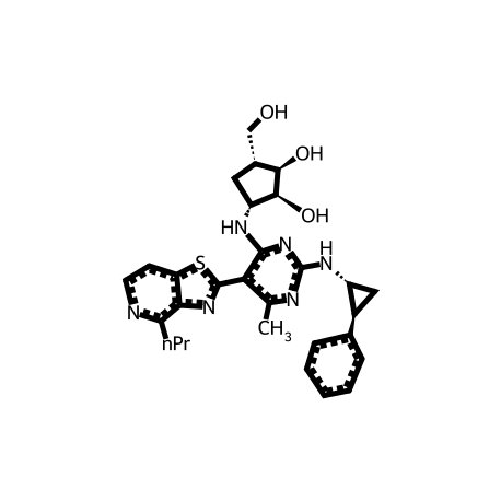 CCCc1nccc2sc(-c3c(C)nc(N[C@@H]4C[C@H]4c4ccccc4)nc3N[C@@H]3C[C@H](CO)[C@@H](O)[C@H]3O)nc12